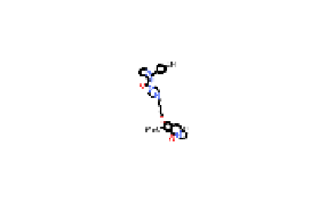 COc1cc2c(cc1OCCCCCN1CCN(C(=O)c3nc(-c4ccc(C#N)cc4)n4ccccc34)CC1)C=C[C@@H]1CCCN1C2=O